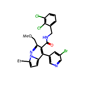 CCc1ccc2c(-c3cncc(Br)c3)c(C(=O)NCc3cccc(Cl)c3Cl)c(COC)nn12